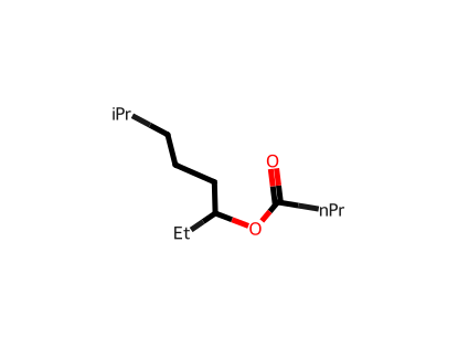 CCCC(=O)OC(CC)CCCC(C)C